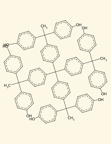 CC(c1ccc(O)cc1)(c1ccc(O)cc1)c1ccc(C(c2ccc(C(C)(c3ccc(O)cc3)c3ccc(O)cc3)cc2)(c2ccc(C(C)(c3ccc(O)cc3)c3ccc(O)cc3)cc2)c2ccc(C(C)(c3ccc(O)cc3)c3ccc(O)cc3)cc2)cc1